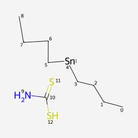 CCC[CH2][Sn][CH2]CCC.NC(=S)S